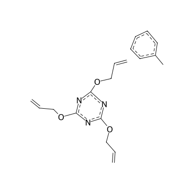 C=CCOc1nc(OCC=C)nc(OCC=C)n1.Cc1ccccc1